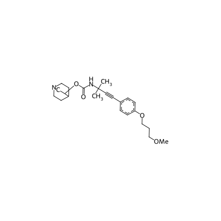 COCCCOc1ccc(C#CC(C)(C)NC(=O)OC2CN3CCC2CC3)cc1